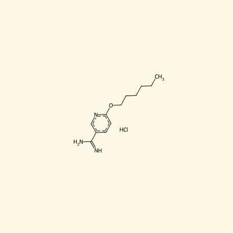 CCCCCCOc1ccc(C(=N)N)cn1.Cl